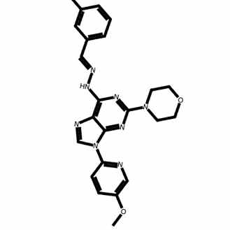 COc1ccc(-n2cnc3c(N/N=C/c4cccc(C)c4)nc(N4CCOCC4)nc32)nc1